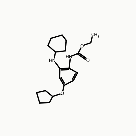 CCOC(=O)Nc1ccc(OC2CCCC2)cc1NC1CCCCC1